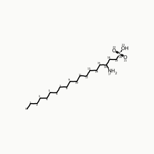 CCCCCCCCCCCCCCCCC(N)CCS(=O)(=O)O